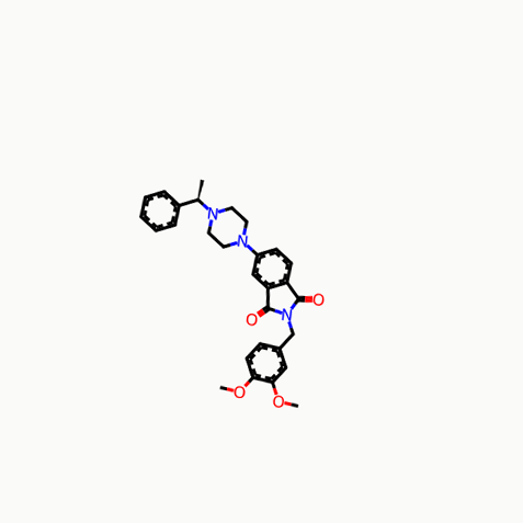 COc1ccc(CN2C(=O)c3ccc(N4CCN([C@H](C)c5ccccc5)CC4)cc3C2=O)cc1OC